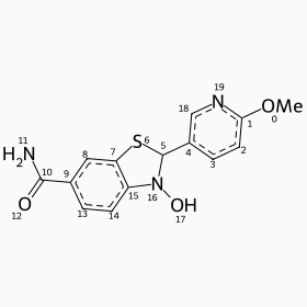 COc1ccc(C2Sc3cc(C(N)=O)ccc3N2O)cn1